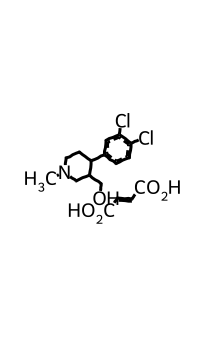 CN1CCC(c2ccc(Cl)c(Cl)c2)C(CO)C1.O=C(O)C=CC(=O)O